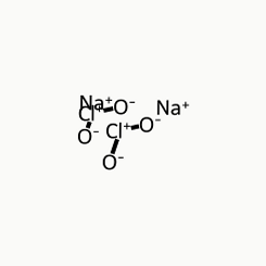 [Na+].[Na+].[O-][Cl+][O-].[O-][Cl+][O-]